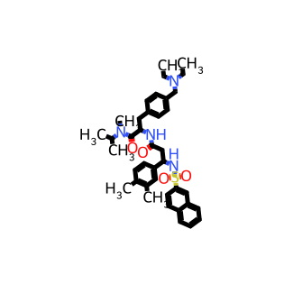 CCN(CC)Cc1ccc(CC(NC(=O)CC(NS(=O)(=O)c2ccc3ccccc3c2)c2ccc(C)c(C)c2)C(=O)N(C)C(C)C)cc1